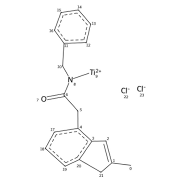 CC1=Cc2c(CC(=O)[N]([Ti+2])Cc3ccccc3)cccc2C1.[Cl-].[Cl-]